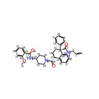 C=CCNC(=O)[C@]1(c2ccccc2)CC[C@@H](C(=O)N2CCC(NC(=O)c3ccccc3OC)CC2)c2ccccc21